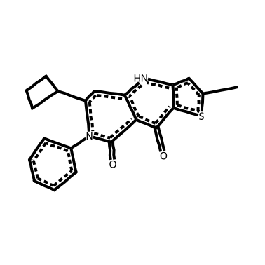 Cc1cc2[nH]c3cc(C4CCC4)n(-c4ccccc4)c(=O)c3c(=O)c2s1